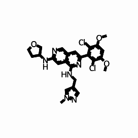 COc1cc(OC)c(Cl)c(-c2cc3cnc(NC4CCOC4)cc3c(NCc3cnn(C)c3)n2)c1Cl